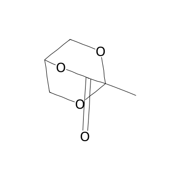 CC12OCC(CO1)OC2=O